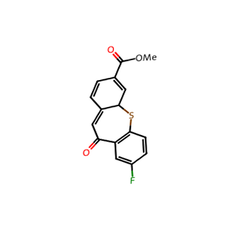 COC(=O)C1=CC2Sc3ccc(F)cc3C(=O)C=C2C=C1